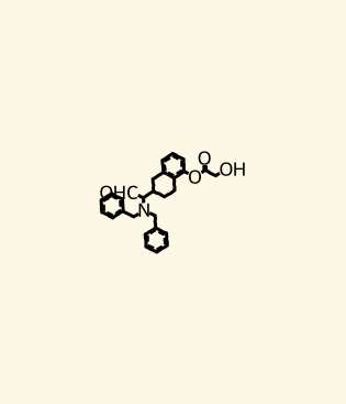 O=CC(C1CCc2c(cccc2OC(=O)CO)C1)N(Cc1ccccc1)Cc1ccccc1